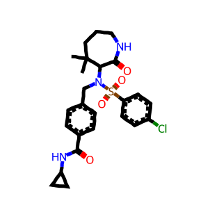 CC1(C)CCCNC(=O)C1N(Cc1ccc(C(=O)NC2CC2)cc1)S(=O)(=O)c1ccc(Cl)cc1